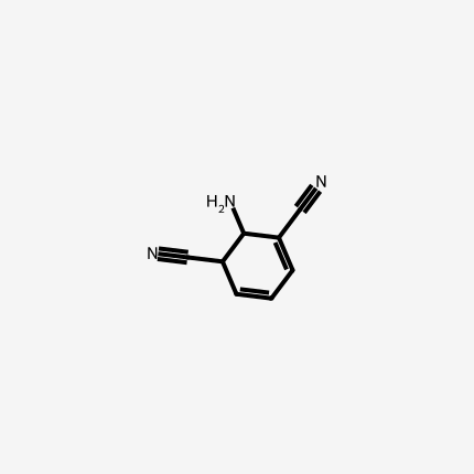 N#CC1=CC=CC(C#N)C1N